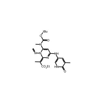 C=NN1C(N(C)C(=O)OC(C)(C)C)=CC(Nc2c[nH]c(=O)c(C)c2)=N/C1=C(/C)C(=O)OCC